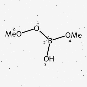 COOB(O)OC